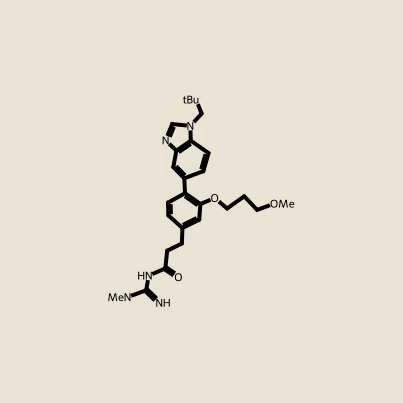 CNC(=N)NC(=O)CCc1ccc(-c2ccc3c(c2)ncn3CC(C)(C)C)c(OCCCOC)c1